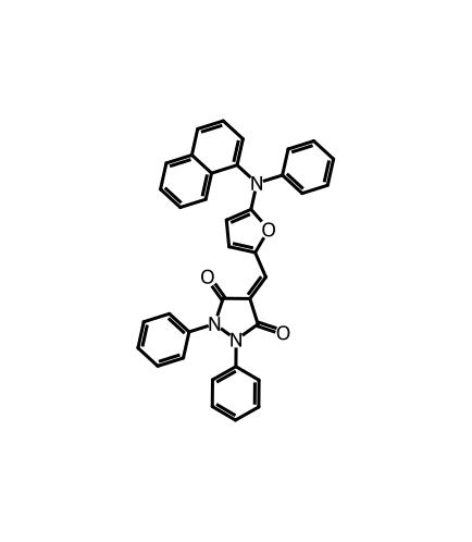 O=C1C(=Cc2ccc(N(c3ccccc3)c3cccc4ccccc34)o2)C(=O)N(c2ccccc2)N1c1ccccc1